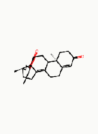 C[C@]12CCC(=O)[C@]13CCC1C(=C3CC2)CCC2=CC(=O)CC[C@@]21C